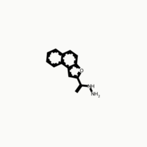 C=C(NN)c1cc2c(ccc3ccccc32)o1